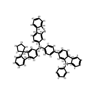 c1ccc(-n2c3ccccc3c3ccc(-c4ccc(N(c5ccc6c(c5)C5(CCCC5)c5ccccc5-6)c5ccc6c(c5)sc5ccccc56)cc4)cc32)cc1